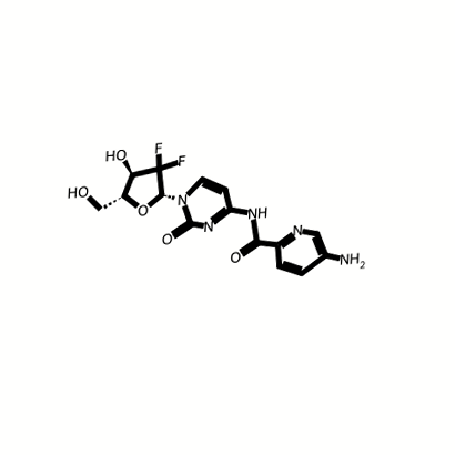 Nc1ccc(C(=O)Nc2ccn([C@@H]3O[C@H](CO)[C@@H](O)C3(F)F)c(=O)n2)nc1